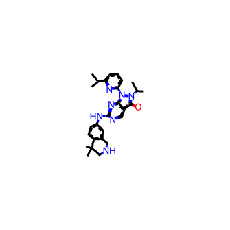 CC(C)c1cccc(-n2c3nc(Nc4ccc5c(c4)CNCC5(C)C)ncc3c(=O)n2C(C)C)n1